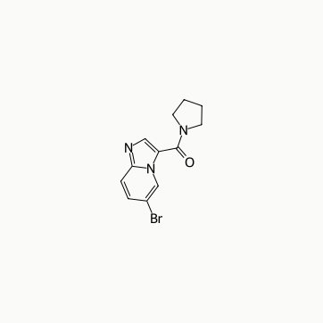 O=C(c1cnc2ccc(Br)cn12)N1CCCC1